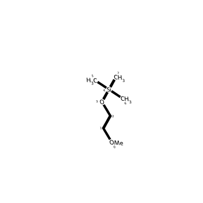 COCCO[Si](C)(C)C